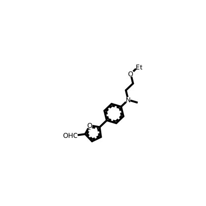 CCOCCN(C)c1ccc(-c2ccc(C=O)o2)cc1